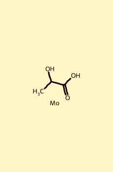 CC(O)C(=O)O.[Mo]